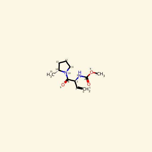 C=C[C@H](NC(=O)OC)C(=O)N1CCC[C@H]1C